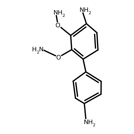 NOc1c(N)ccc(-c2ccc(N)cc2)c1ON